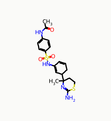 CC(=O)Nc1ccc(S(=O)(=O)NC2=CC(C3(C)CCSC(N)=N3)CC=C2)cc1